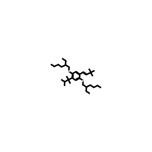 CCCCC(CC)CSc1cc(C(C)(C)C(C)C)c(SCC(CC)CCCC)cc1/C=C/C(C)(C)C